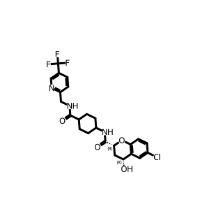 O=C(NCc1ccc(C(F)(F)F)cn1)C1CCC(NC(=O)[C@H]2C[C@@H](O)c3cc(Cl)ccc3O2)CC1